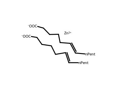 CCCCCC=CCCCCC(=O)[O-].CCCCCC=CCCCCC(=O)[O-].[Zn+2]